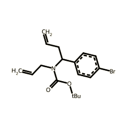 C=CCC(c1ccc(Br)cc1)N(CC=C)C(=O)OC(C)(C)C